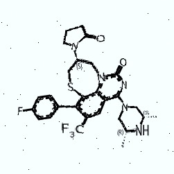 C[C@@H]1CN(c2nc(=O)n3c4c(c(-c5ccc(F)cc5)c(C(F)(F)F)cc24)SC[C@@H](N2CCCC2=O)C3)C[C@H](C)N1